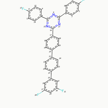 Fc1ccc(-c2nc(-c3ccc(F)cc3)nc(-c3ccc(-c4ccc(-c5cc(F)cc(F)c5)cc4)cc3)n2)cc1